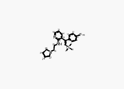 CS(C)(C)/C=C(\c1ccc(F)cc1)c1cccnc1NCCN1CCCC1